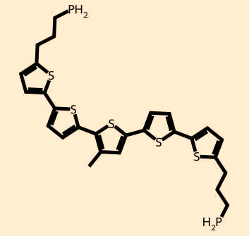 Cc1cc(-c2ccc(-c3ccc(CCCP)s3)s2)sc1-c1ccc(-c2ccc(CCCP)s2)s1